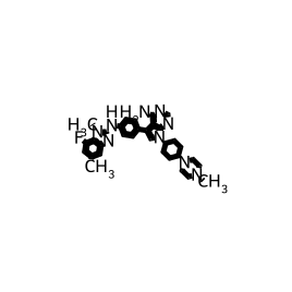 Cc1cc(F)c2c(c1)nc(Nc1ccc(-c3cn([C@H]4CC[C@@H](N5CCN(C)CC5)CC4)c4ncnc(N)c34)cc1)n2C